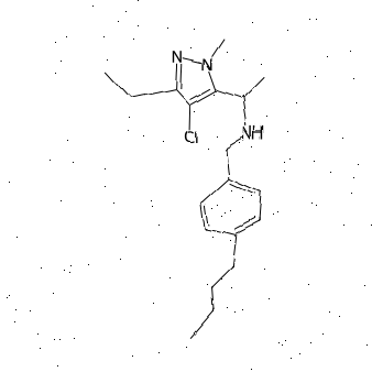 CCCCc1ccc(CNC(C)c2c(Cl)c(CC)nn2C)cc1